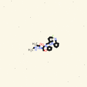 CCNC(C)C(=O)NC1COc2ccccc2N(Cc2nn(-c3ccccc3C#N)c3cc(F)ccc23)C1=O